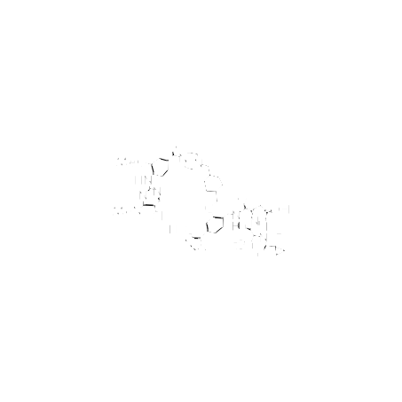 CNc1nc(Nc2ccc(C(=O)N3CCN(CC4CCC(COc5cc(-c6scnc6C)ccc5CNC(=O)[C@@H]5C[C@@H](O)CN5C(=O)C(NC(=O)C5(F)CC5)C(C)(C)C)CC4)CC3)cc2OC)ncc1Cl